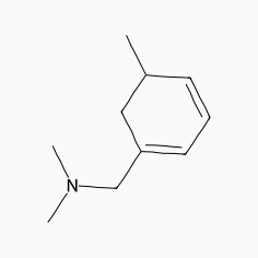 CC1C=CC=C(CN(C)C)C1